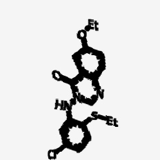 CCOc1ccc2ncn(Nc3cc(Cl)ccc3SCC)c(=O)c2c1